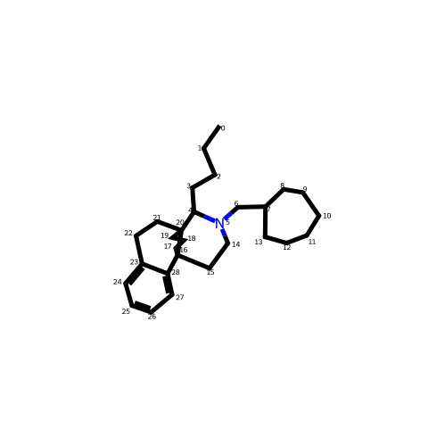 CCCCC1N(CC2CCCCCC2)CCC23CCCC12CCc1ccccc13